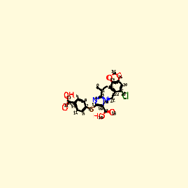 CC(C)c1nc(Sc2ccc(C(=O)O)cc2)c(C(=O)O)n1Cc1cc2c(cc1Cl)OCO2